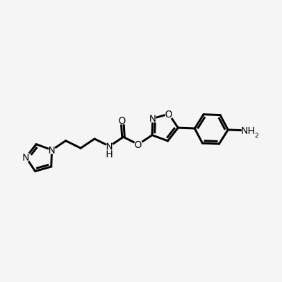 Nc1ccc(-c2cc(OC(=O)NCCCn3ccnc3)no2)cc1